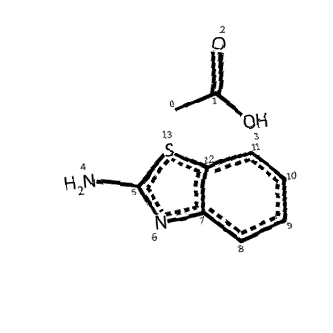 CC(=O)O.Nc1nc2ccccc2s1